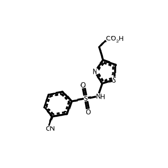 N#Cc1cccc(S(=O)(=O)Nc2nc(CC(=O)O)cs2)c1